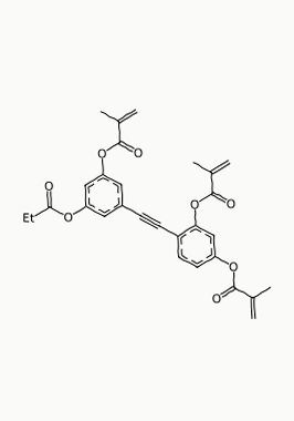 C=C(C)C(=O)Oc1cc(C#Cc2ccc(OC(=O)C(=C)C)cc2OC(=O)C(=C)C)cc(OC(=O)CC)c1